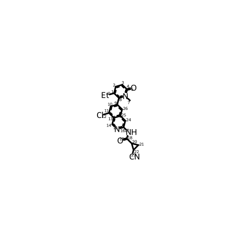 CCc1ccc(=O)n(C)c1-c1cc(Cl)c2cnc(NC(=O)C3CC3C#N)cc2c1